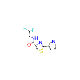 O=C(NCC(F)F)c1csc(-c2cccnc2)n1